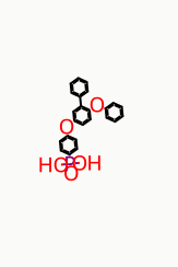 O=P(O)(O)c1ccc(Oc2ccc(Oc3ccccc3)c(-c3ccccc3)c2)cc1